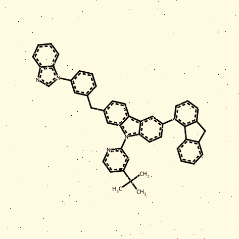 CC(C)(C)c1ccnc(-n2c3ccc(-c4cccc5c4-c4ccccc4C5)cc3c3ccc(Cc4cccc(-n5cnc6ccccc65)c4)cc32)c1